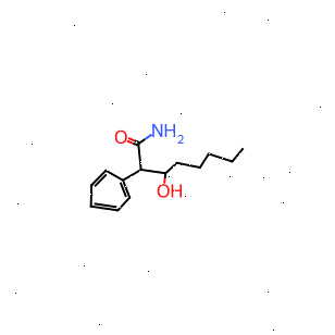 CCCCCC(O)C(C(N)=O)c1ccccc1